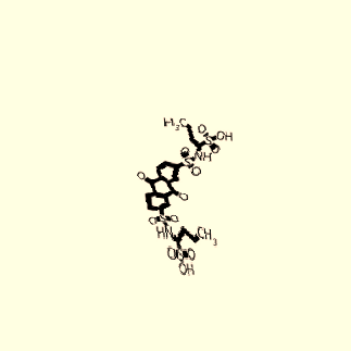 CCCC(NS(=O)(=O)c1ccc2c(c1)C(=O)c1cc(S(=O)(=O)NC(CCC)S(=O)(=O)O)ccc1C2=O)S(=O)(=O)O